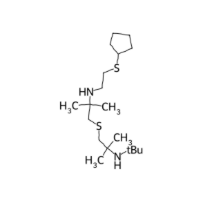 CC(C)(C)NC(C)(C)CSCC(C)(C)NCCSC1CCCC1